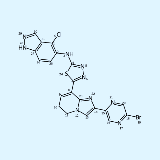 Clc1c(Nc2nnc(C3=CCCn4cc(-c5cnc(Br)cn5)nc43)s2)ccc2[nH]ncc12